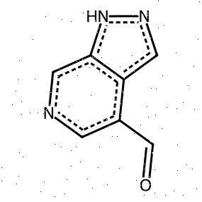 O=Cc1cncc2[nH]ncc12